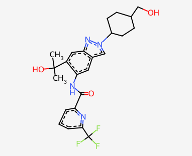 CC(C)(O)c1cc2nn(C3CCC(CO)CC3)cc2cc1NC(=O)c1cccc(C(F)(F)F)n1